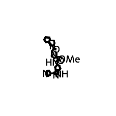 COCC1(C(=O)Nc2ccc3[nH]nc(-c4ccncc4)c3c2)CCN(CC(=O)N2CCc3ccccc3C2)C1